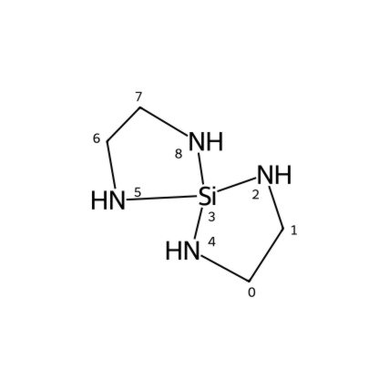 C1CN[Si]2(N1)NCCN2